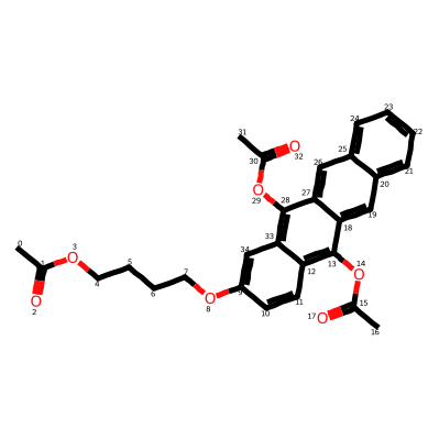 CC(=O)OCCCCOc1ccc2c(OC(C)=O)c3cc4ccccc4cc3c(OC(C)=O)c2c1